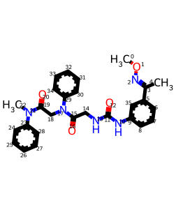 CON=C(C)c1cccc(NC(=O)NCC(=O)N(CC(=O)N(C)c2ccccc2)c2ccccc2)c1